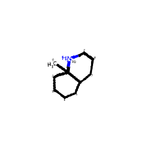 CC12CCCCC1CCCN2